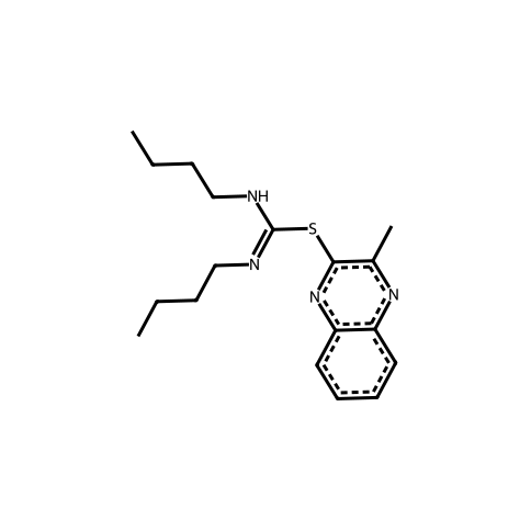 CCCCN=C(NCCCC)Sc1nc2ccccc2nc1C